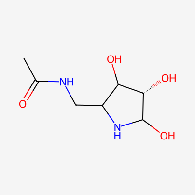 CC(=O)NCC1NC(O)[C@@H](O)C1O